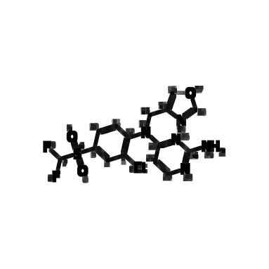 CCc1cc(S(=O)(=O)C(F)F)ccc1N(Cc1cocn1)c1ccnc(N)n1